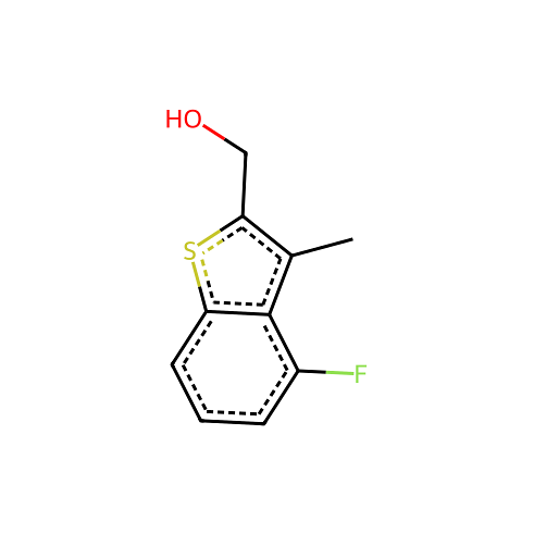 Cc1c(CO)sc2cccc(F)c12